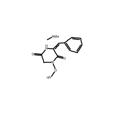 CCCON1CC(=O)NC(=Cc2ccccc2)C1=O.CNC